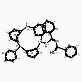 N=C(/N=C(\NN1c2cccc(c2)Nc2cccc(c2)N(c2ccccc2)c2cccc1c2)c1ccccc1)c1ccccc1